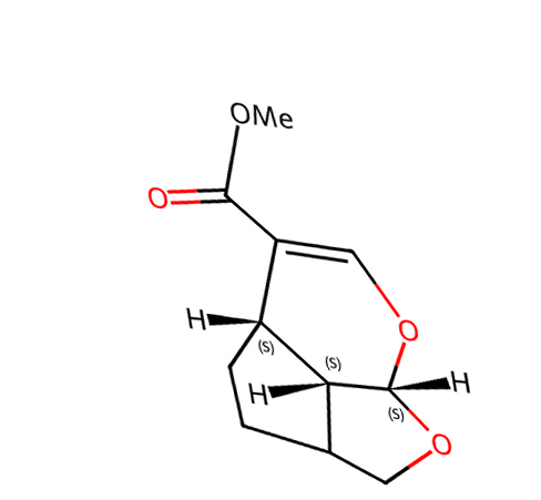 COC(=O)C1=CO[C@@H]2OCC3CC[C@H]1[C@@H]32